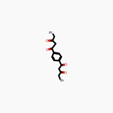 CC(C)CC(=O)CC(=O)c1ccc(C(=O)CC(=O)CC(C)C)cc1